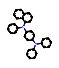 c1ccc(N(c2ccccc2)c2ccc(N(c3ccccc3)c3cccc4ccccc34)cc2)cc1